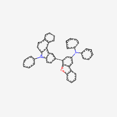 c1ccc(N(c2ccccc2)c2cc(-c3ccc4c(c3)c3c5ccccc5ccc3n4-c3ccccc3)c3oc4ccccc4c3c2)cc1